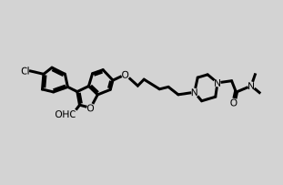 CN(C)C(=O)CN1CCN(CCCCCOc2ccc3c(-c4ccc(Cl)cc4)c(C=O)oc3c2)CC1